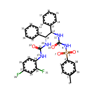 Cc1ccc(S(=O)(=O)NC(=O)N[C@H](c2ccccc2)[C@H](NC(=O)Nc2ccc(F)cc2F)c2ccccc2)cc1